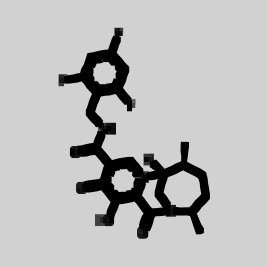 C[C@@H]1CC[C@H](C)[C@@H]2CN1C(=O)c1c(O)c(=O)c(C(=O)NCc3c(F)cc(F)cc3F)cn12